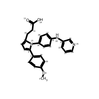 COc1ccc(-c2ccc(CCC(=O)O)n2-c2ccc(Nc3cccnc3)cc2)cc1